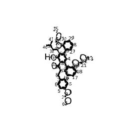 COCOc1ccc(CCC(=O)c2c(-c3ccccc3OCOC)cc(-c3ccccc3OCOC)c(CCC(C)C)c2O)cc1